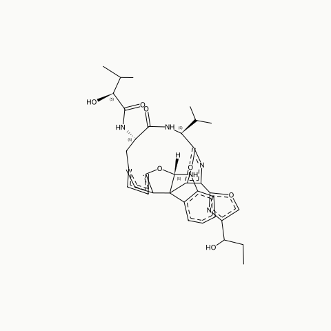 CCC(O)c1coc(-c2nc3oc2C24c5ccccc5N[C@H]2Oc2ccc(cc24)C[C@H](NC(=O)[C@@H](O)C(C)C)C(=O)N[C@H]3C(C)C)n1